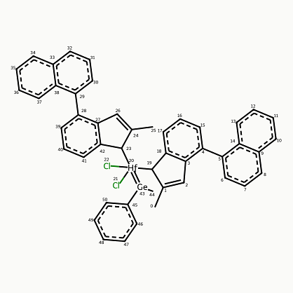 CC1=Cc2c(-c3cccc4ccccc34)cccc2[CH]1[Hf]([Cl])([Cl])([CH]1C(C)=Cc2c(-c3cccc4ccccc34)cccc21)=[Ge]([CH3])[c]1ccccc1